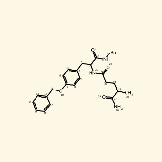 CCC(C)NC(=O)C(Cc1ccc(OCc2ccccc2)cc1)NC(=O)[CH]CC(C)C(N)=O